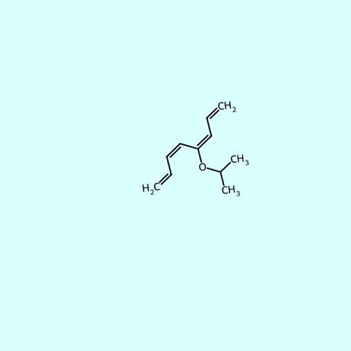 C=C/C=C\C(=C/C=C)OC(C)C